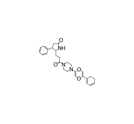 O=C1CC(c2ccccc2)C(CCC(=O)N2CCN(C3=COC(C4=CC=CCC4)=CO3)CC2)N1